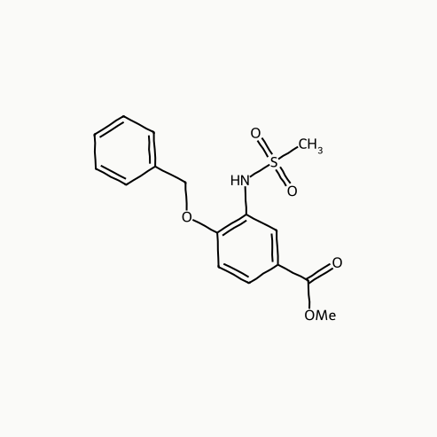 COC(=O)c1ccc(OCc2ccccc2)c(NS(C)(=O)=O)c1